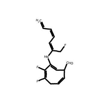 C=C/C=C\C=C(/CF)NC1=C\C(C=O)/C=C\C/C(F)=C\1F